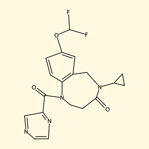 O=C(c1cnccn1)N1CCC(=O)N(C2CC2)Cc2cc(OC(F)F)ccc21